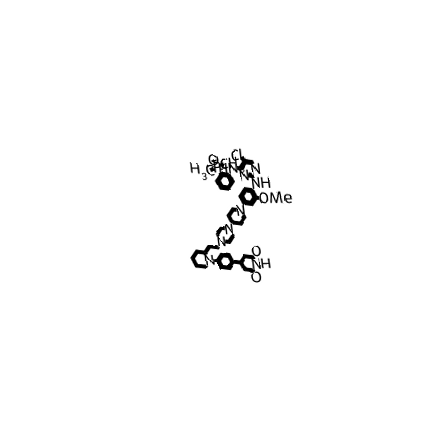 COc1cc(N2CCC(N3CCN(CCC4CCCCN4c4ccc(C5CC(=O)NC(=O)C5)cc4)CC3)CC2)ccc1Nc1ncc(Cl)c(Nc2ccccc2P(C)(C)=O)n1